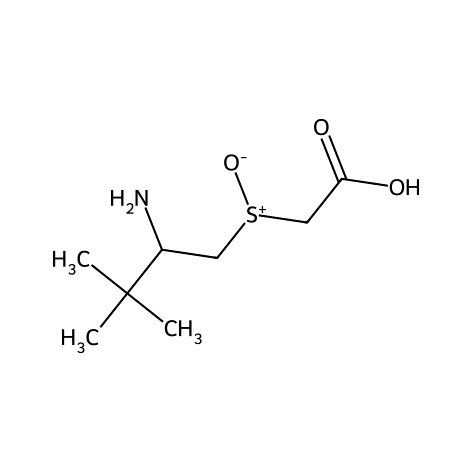 CC(C)(C)C(N)C[S+]([O-])CC(=O)O